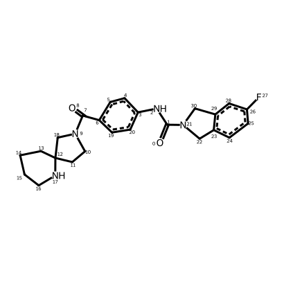 O=C(Nc1ccc(C(=O)N2CCC3(CCCCN3)C2)cc1)N1Cc2ccc(F)cc2C1